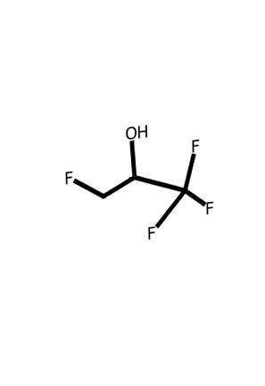 O[C](CF)C(F)(F)F